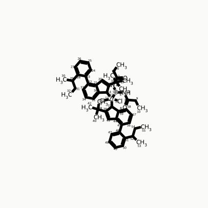 CCC(=O)N[B](NC(=O)CC)[Zr]([Cl])([Cl])([CH]1C(C(C)(C)C)=Cc2c(-c3ccccc3C(C)CC)cccc21)[CH]1C(C(C)(C)C)=Cc2c(-c3ccccc3C(C)CC)cccc21